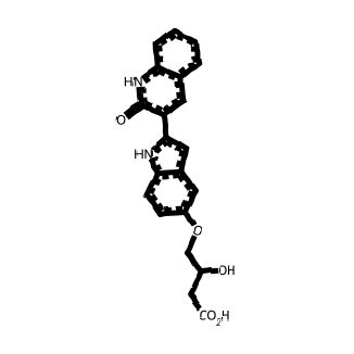 O=C(O)CC(O)COc1ccc2[nH]c(-c3cc4ccccc4[nH]c3=O)cc2c1